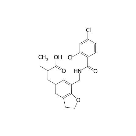 CCC(Cc1cc2c(c(CNC(=O)c3ccc(Cl)cc3Cl)c1)OCC2)C(=O)O